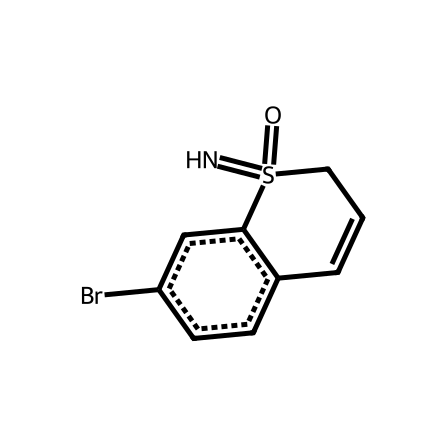 N=S1(=O)CC=Cc2ccc(Br)cc21